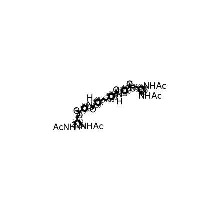 CC(=O)Nc1cc(COC(=O)c2ccc(NC(=O)c3ccc(/C=C/c4ccc(C(=O)Nc5ccc(C(=O)OCc6cc(NC(C)=O)nc(NC(C)=O)c6)cc5)cc4)cc3)cc2)cc(NC(C)=O)n1